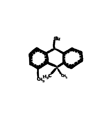 Cc1cccc2c1[Si](C)(C)c1ccccc1B2C(C)(C)C